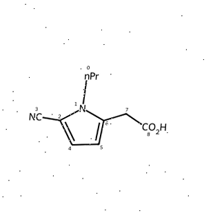 CCCn1c(C#N)ccc1CC(=O)O